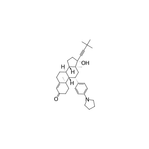 CC(C)(C)C#C[C@]1(O)CC[C@H]2[C@@H]3CCC4=CC(=O)CC[C@]4(C)[C@H]3[C@@H](c3ccc(N4CCCC4)cc3)C[C@@]21C